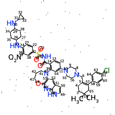 CC1(C)CCC(CN2CCN(c3ccc(C(=O)NS(=O)(=O)c4ccc(NC5CCC(NC6CC6)CC5)c([N+](=O)[O-])c4)c(N4CCCOc5nc6[nH]ccc6cc54)c3)CC2)=C(c2ccc(Cl)cc2)C1